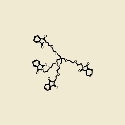 O=C1c2ccccc2C(=O)N1CCOCCOCC(COCCOCCN1C(=O)c2ccccc2C1=O)(COCCOCCN1C(=O)c2ccccc2C1=O)COCCOCCN1C(=O)c2ccccc2C1=O